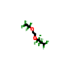 FC(F)C(F)(F)OCCOC(F)(F)C(F)(F)C(F)F